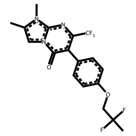 Cc1cn2c(=O)c(-c3ccc(OCC(C)(F)F)cc3)c(C(F)(F)F)nc2n1C